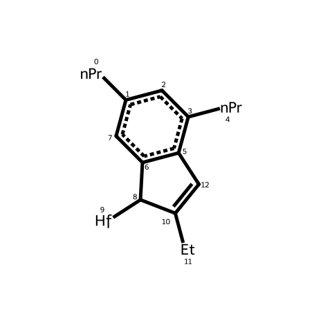 CCCc1cc(CCC)c2c(c1)[CH]([Hf])C(CC)=C2